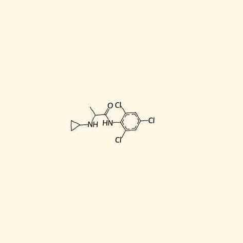 CC(NC1CC1)C(=O)Nc1c(Cl)cc(Cl)cc1Cl